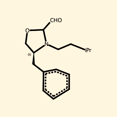 CC(C)CCN1C(C=O)OC[C@@H]1Cc1ccccc1